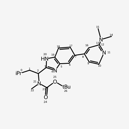 CC(C)CC(c1nc2cc(-c3ccnc(N(C)C)c3)ccc2[nH]1)N(C)C(=O)OC(C)(C)C